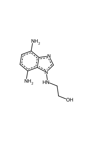 Nc1ccc(N)c2c1ncn2NCCO